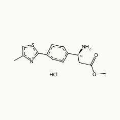 COC(=O)C[C@H](N)c1ccc(-c2nc(C)cs2)cc1.Cl